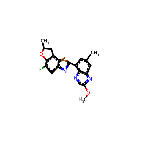 COc1cnc2c(-c3nc4cc(F)c5c(c4s3)CC(C)O5)cc(C)cc2n1